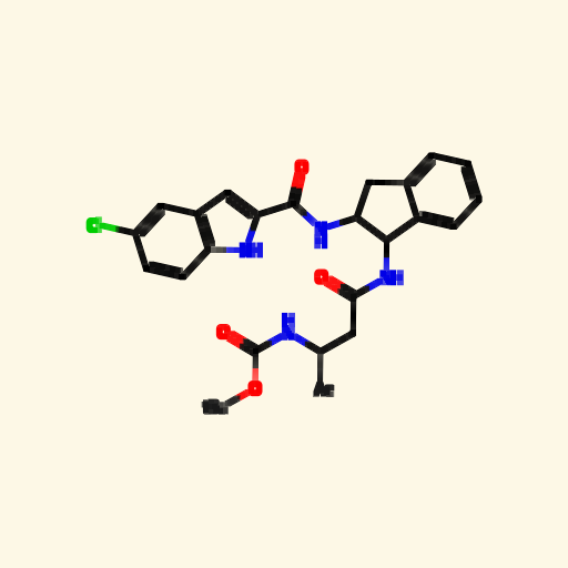 CC(=O)C(CC(=O)NC1c2ccccc2CC1NC(=O)c1cc2cc(Cl)ccc2[nH]1)NC(=O)OC(C)(C)C